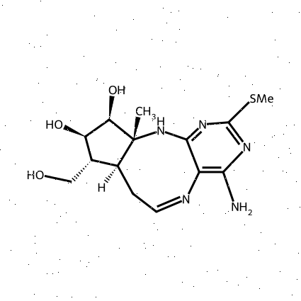 CSc1nc(N)c2c(n1)N[C@@]1(C)[C@H](O)[C@H](O)[C@@H](CO)[C@@H]1C/C=N\2